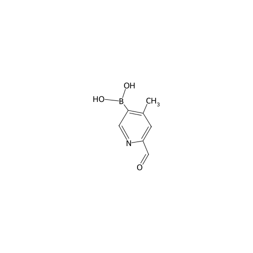 Cc1cc(C=O)ncc1B(O)O